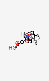 CC(C)(C)OC(=O)N1C(CF)C(c2ccc(-c3cc(CO)no3)cc2)OC1(C)C